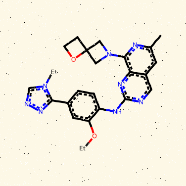 CCOc1cc(-c2nncn2CC)ccc1Nc1ncc2cc(C)nc(N3CC4(CCO4)C3)c2n1